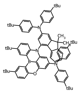 CC(C)(C)c1ccc(N(c2ccc(C(C)(C)C)cc2)c2cc3c4c(c2)N(c2cc(N(c5ccc(C(C)(C)C)cc5)c5ccc(C(C)(C)C)cc5)cc5c2-c2ccccc2C5(C)C)c2ccc(C(C)(C)C)cc2B4c2cc(C(C)(C)C)ccc2O3)cc1